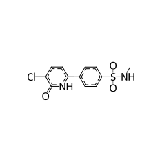 CNS(=O)(=O)c1ccc(-c2ccc(Cl)c(=O)[nH]2)cc1